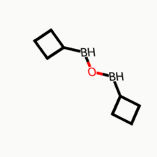 B(OBC1CCC1)C1CCC1